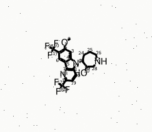 COc1cc2c(cc1C(F)(F)F)c1nc(C(F)(F)F)ccc1n2[C@@H]1CCCNC[C@H]1O